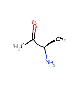 CC(=O)[C@@H](C)N